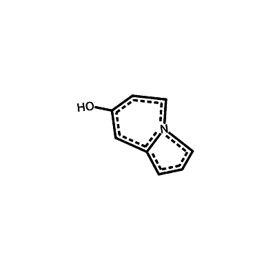 Oc1ccn2cccc2c1